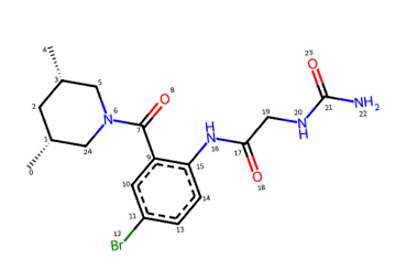 C[C@@H]1C[C@H](C)CN(C(=O)c2cc(Br)ccc2NC(=O)CNC(N)=O)C1